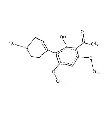 COc1cc(OC)c(C2=CCN(C)CC2)c(O)c1C(C)=O